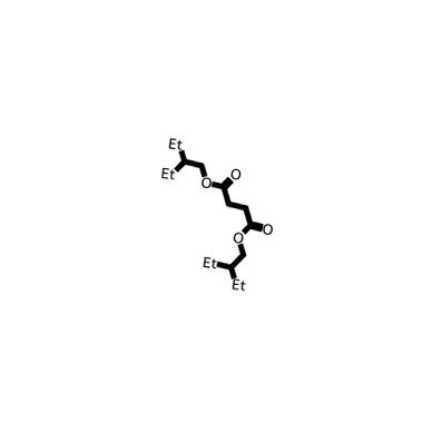 CCC(CC)COC(=O)CCC(=O)OCC(CC)CC